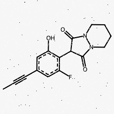 CC#Cc1cc(O)c(C2C(=O)N3CCCCN3C2=O)c(F)c1